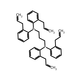 C=CCc1ccccc1P(CCCP(c1ccccc1CC=C)c1ccccc1CC=C)c1ccccc1CC=C